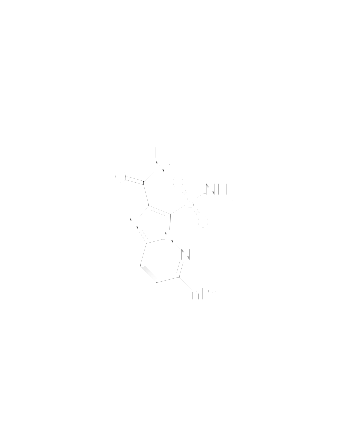 CCCc1ccc2nc(C(N)=O)c(S(N)(=O)=O)n2n1